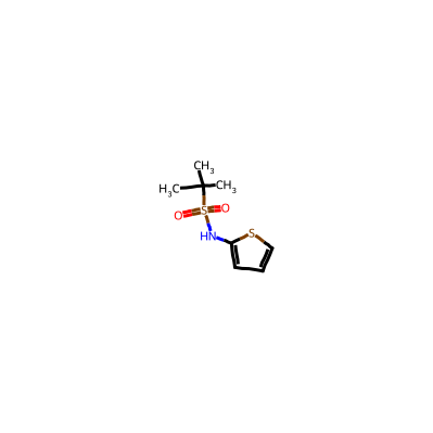 CC(C)(C)S(=O)(=O)Nc1cccs1